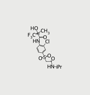 CC(C)NC(=O)CS(=O)(=O)c1ccc(NC(=O)[C@@](C)(O)C(F)(F)F)c(Cl)c1